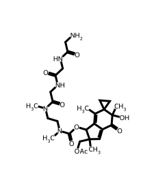 CC(=O)OCC1(C)C=C2C(=O)C(C)(O)C3(CC3)C(C)=C2C1OC(=O)N(C)CCN(C)C(=O)CNC(=O)CNC(=O)CN